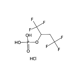 Cl.O=P(O)(O)OC(CC(F)(F)F)C(F)(F)F